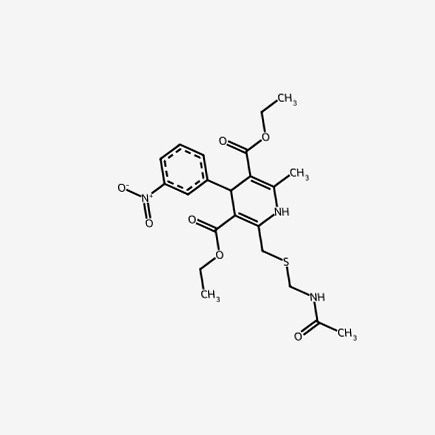 CCOC(=O)C1=C(C)NC(CSCNC(C)=O)=C(C(=O)OCC)C1c1cccc([N+](=O)[O-])c1